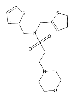 O=S(=O)(CCN1CCOCC1)N(Cc1cccs1)Cc1cccs1